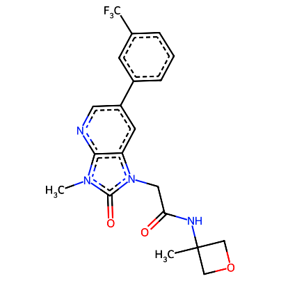 Cn1c(=O)n(CC(=O)NC2(C)COC2)c2cc(-c3cccc(C(F)(F)F)c3)cnc21